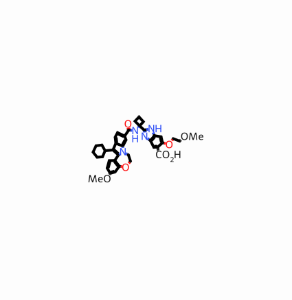 COCCOc1cc2[nH]c(C3(NC(=O)c4ccc5c(C6CCCCC6)c6n(c5c4)CCOc4cc(OC)ccc4-6)CCC3)nc2cc1C(=O)O